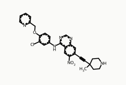 CC1(C#Cc2cc3ncnc(Nc4ccc(OCc5ccccn5)c(Cl)c4)c3cc2[N+](=O)[O-])CCNCC1